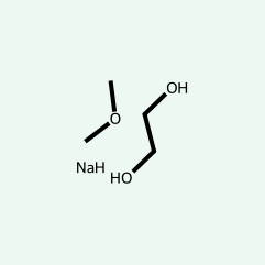 COC.OCCO.[NaH]